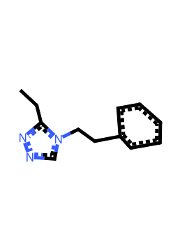 CCc1nncn1CCc1ccccc1